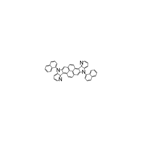 c1ccc2c(-n3c4cccnc4c4c5ccc6cc7c(c8ccc(cc43)c5c68)c3ncccc3n7-c3cccc4ccccc34)cccc2c1